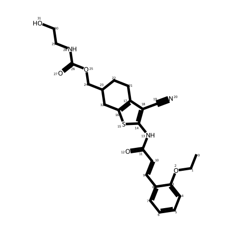 CCOc1ccccc1C=CC(=O)Nc1sc2c(c1C#N)CCC(COC(=O)NCCO)C2